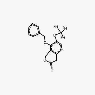 [2H]C([2H])([2H])Oc1ccc2c(c1OCc1ccccc1)COC(=O)C2